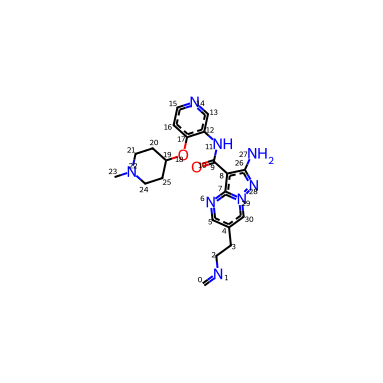 C=NCCc1cnc2c(C(=O)Nc3cnccc3OC3CCN(C)CC3)c(N)nn2c1